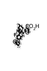 Cc1ccn2c(C[C@H]3CN(C(=O)O)CCO3)c(-c3c(F)cc(N4CC=CC4=O)cc3F)nc2c1